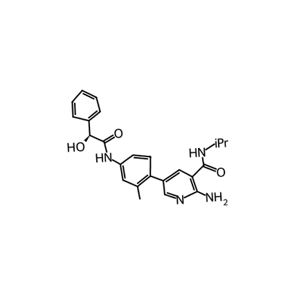 Cc1cc(NC(=O)[C@@H](O)c2ccccc2)ccc1-c1cnc(N)c(C(=O)NC(C)C)c1